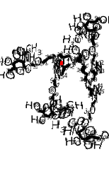 CC(=O)NC1C(OCCOCCn2cc(CN(CCCC[C@H](C(=O)O)N(Cc3cn(CCOCCOC4OC(CO)C(O)C(O)C4NC(C)=O)nn3)Cc3cn(CCOCCOC4OC(CO)C(O)CC4(O)NC(C)=O)nn3)Cc3cn(CCOCCOC4OC(CO)C(O)C(O)C4NC(C)=O)nn3)nn2)OC(CO)C(O)C1O